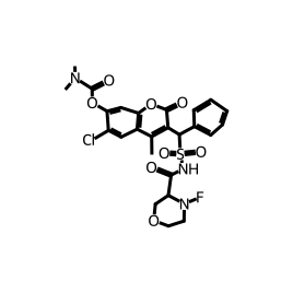 Cc1c(C(c2ccccc2)S(=O)(=O)NC(=O)C2COCCN2F)c(=O)oc2cc(OC(=O)N(C)C)c(Cl)cc12